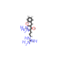 N=C(N)NCCCC(N)C(=O)C(Cc1ccccc1)C(N)=O